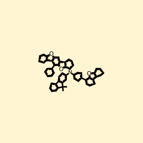 CC1(C)c2ccccc2-c2ccc(N(c3ccc(-c4cccc5c4oc4ccccc45)cc3)c3cccc4c3oc3c(-c5ccccc5)c5c(cc34)oc3ccccc35)cc21